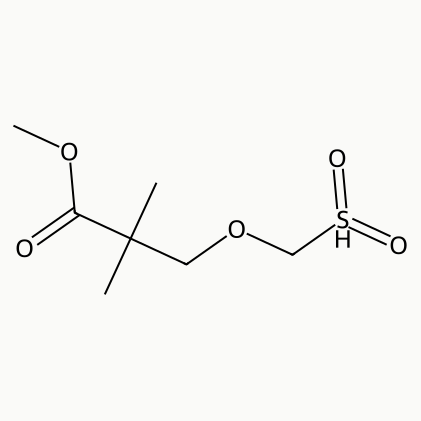 COC(=O)C(C)(C)COC[SH](=O)=O